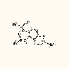 CN[C@H]1CCc2c(ccc(OC(=O)C(C)C)c2OC(=O)C(C)C)C1